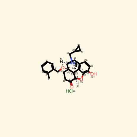 Cc1ccccc1CO[C@@]12CCC(=O)[C@@H]3Oc4c(O)ccc5c4[C@@]31CCN(CC1CC1)[C@@H]2C5.Cl